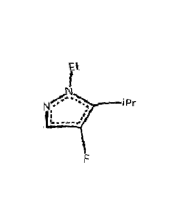 CCn1n[c]c(F)c1C(C)C